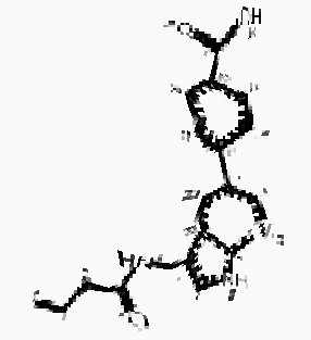 CCCC(=O)Nc1c[nH]c2ncc(-c3ccc(C(=O)O)cc3)cc12